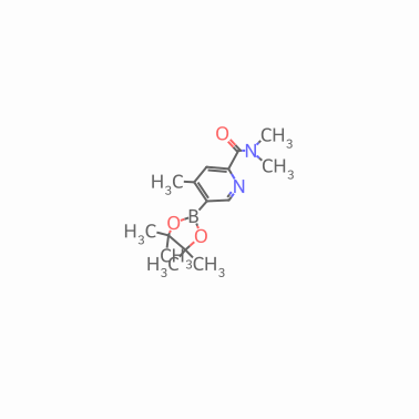 Cc1cc(C(=O)N(C)C)ncc1B1OC(C)(C)C(C)(C)O1